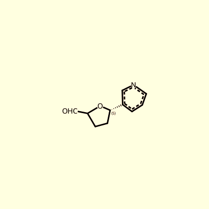 O=CC1CC[C@@H](c2cccnc2)O1